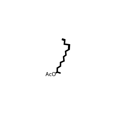 C=CC/C=C\CCCCCCCC(C)OC(C)=O